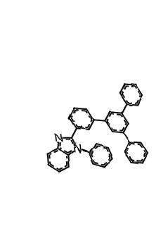 c1ccc(-c2cc(-c3ccccc3)cc(-c3cccc(-c4nc5ccccc5n4-c4ccccc4)c3)c2)cc1